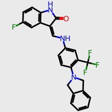 O=C1Nc2ccc(F)cc2C1=CNc1ccc(N2Cc3ccccc3C2)c(C(F)(F)F)c1